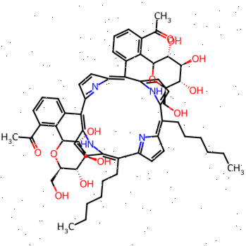 CCCCCCc1c2nc(c(CCCCCC)c3ccc([nH]3)c(-c3cccc(C(C)=O)c3C3O[C@H](CO)[C@@H](O)[C@H](O)[C@H]3O)c3nc(c(-c4cccc(C(C)=O)c4C4O[C@H](CO)[C@@H](O)[C@H](O)[C@H]4O)c4ccc1[nH]4)C=C3)C=C2